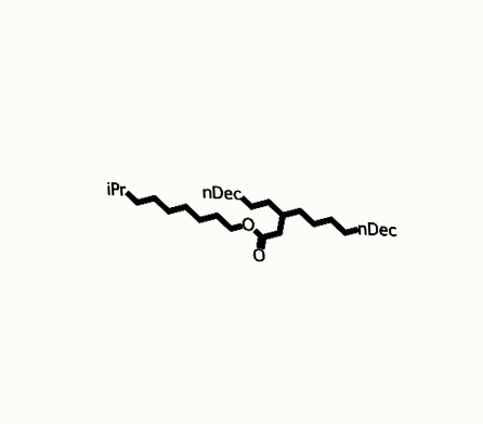 CCCCCCCCCCCCCCC(CCCCCCCCCCCC)CC(=O)OCCCCCCCC(C)C